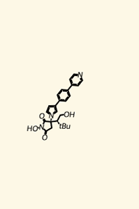 CC(C)(C)[C@H](CO)[C@]1(n2ccc(-c3ccc(-c4ccncc4)cc3)c2)CC(=O)N(O)C1=O